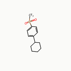 O=S(=O)(c1ccc(C2CCCCC2)cc1)C(F)(F)F